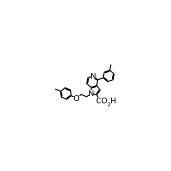 Cc1ccc(OCCn2c(C(=O)O)cc3c(-c4cccc(C)c4)nccc32)cc1